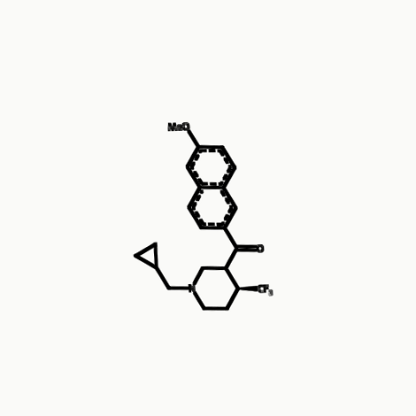 COc1ccc2cc(C(=O)C3CN(CC4CC4)CC[C@@H]3C(F)(F)F)ccc2c1